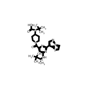 C[C@@H](Nc1cc(C(=O)N2CCC(N(C(=O)O)C(C)(C)C)CC2)nc(-c2cnn3ccsc23)n1)C(C)(C)C